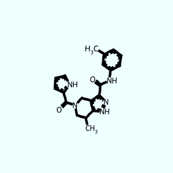 Cc1cccc(NC(=O)c2n[nH]c3c2CN(C(=O)c2ccc[nH]2)CC3C)c1